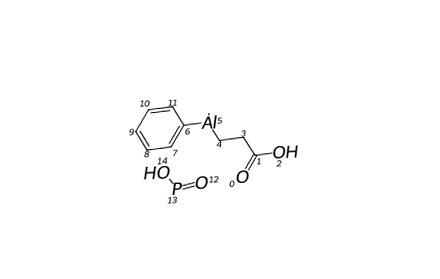 O=C(O)C[CH2][Al][c]1ccccc1.O=PO